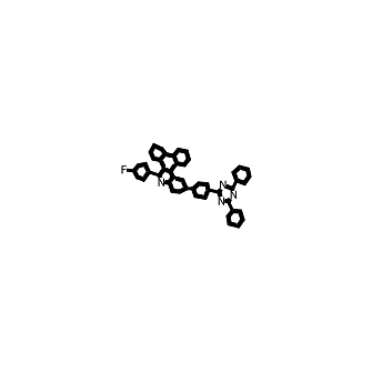 Fc1ccc(-c2nc3ccc(-c4ccc(-c5nc(-c6ccccc6)nc(-c6ccccc6)n5)cc4)cc3c3c4ccccc4c4ccccc4c23)cc1